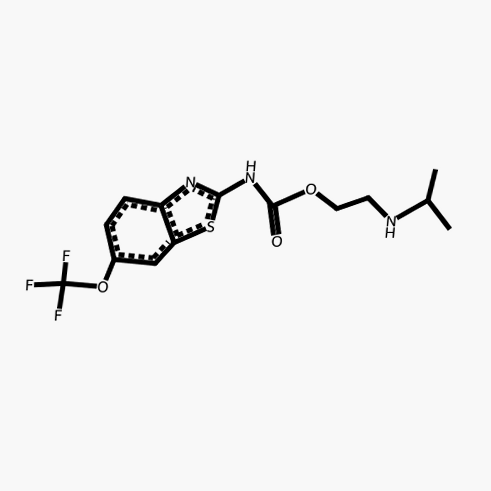 CC(C)NCCOC(=O)Nc1nc2ccc(OC(F)(F)F)cc2s1